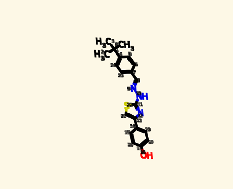 CC(C)(C)c1ccc(C=NNc2nc(-c3ccc(O)cc3)cs2)cc1